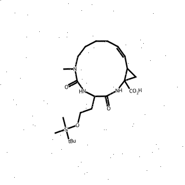 CN1CCCCC=CC2CC2(C(=O)O)NC(=O)C(CCO[Si](C)(C)C(C)(C)C)NC1=O